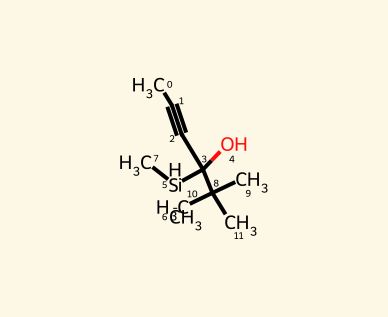 CC#CC(O)([SiH](C)C)C(C)(C)C